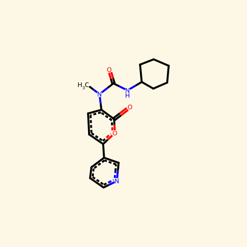 CN(C(=O)NC1CCCCC1)c1ccc(-c2cccnc2)oc1=O